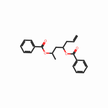 C=CCC(CC(C)OC(=O)c1ccccc1)OC(=O)c1ccccc1